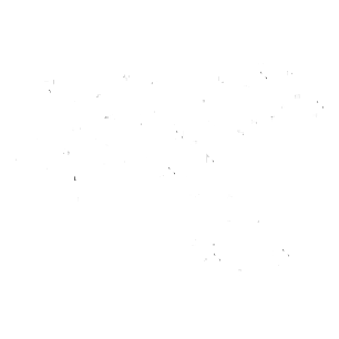 CC[C@@H]1C[C@@H]2C[C@H](C)CC(c3ccc(-c4nc(-c5ccc6ncc(C#N)cc6c5)nc(-c5ccc6ncc(C#N)cc6c5)n4)c4ccccc34)(C1)C2